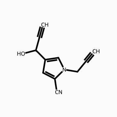 C#CCn1cc([C](O)C#C)cc1C#N